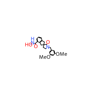 COc1cc(CN2CCC3(Cc4cccc(C(=O)NO)c4C3)C2=O)cc(OC)c1